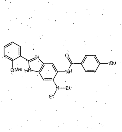 CCN(CC)c1cc2[nH]c(-c3ccccc3OC)nc2cc1NC(=O)c1ccc(C(C)(C)C)cc1